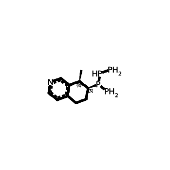 C[C@@H]1c2cnccc2CC[C@@H]1P(P)PP